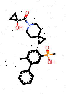 Cc1cc([C@H]2CC23CCN(C(=O)C2(O)CC2)CC3)c(P(C)(=O)O)cc1-c1ccccc1